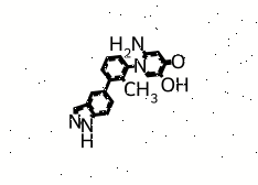 Cc1c(-c2ccc3[nH]ncc3c2)cccc1-n1cc(O)c(=O)cc1N